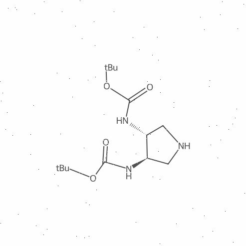 CC(C)(C)OC(=O)N[C@@H]1CNC[C@H]1NC(=O)OC(C)(C)C